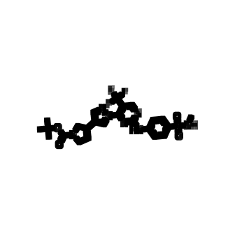 CNS(=O)(=O)c1ccc(Nc2ncc(C(F)(F)F)c(-n3cc(C4=CCN(C(=O)OC(C)(C)C)C4)cn3)n2)cc1